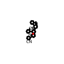 CC1(C)c2ccccc2C2c3sc4c(-c5c(C#N)cccc5-n5c6ccccc6c6cc(C#N)ccc65)cccc4c3C=CC21C